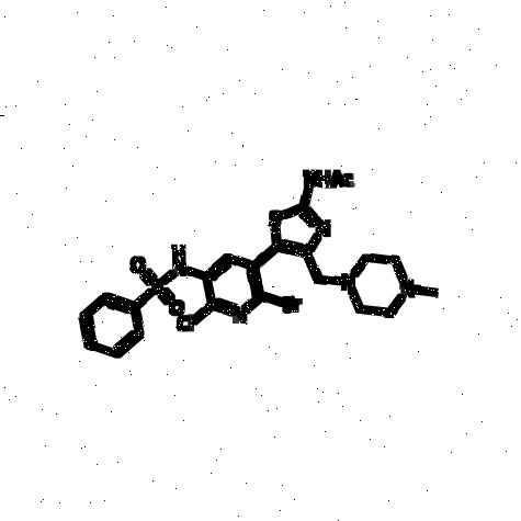 CC(=O)Nc1nc(CN2CCN(C)CC2)c(-c2cc(NS(=O)(=O)c3ccccc3)c(Cl)nc2Br)s1